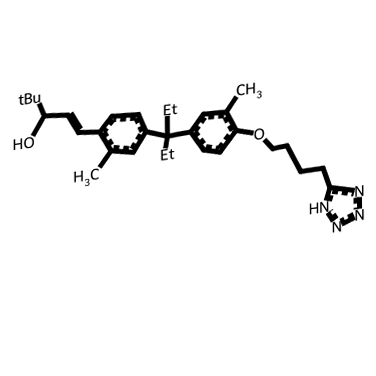 CCC(CC)(c1ccc(/C=C/C(O)C(C)(C)C)c(C)c1)c1ccc(OCCCCc2nnn[nH]2)c(C)c1